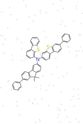 CC1(C)c2ccc(N(c3ccc4c(c3)sc3cc(-c5ccccc5)ccc34)c3cccc4c3sc3ccccc34)cc2-c2ccc(-c3ccccc3)cc21